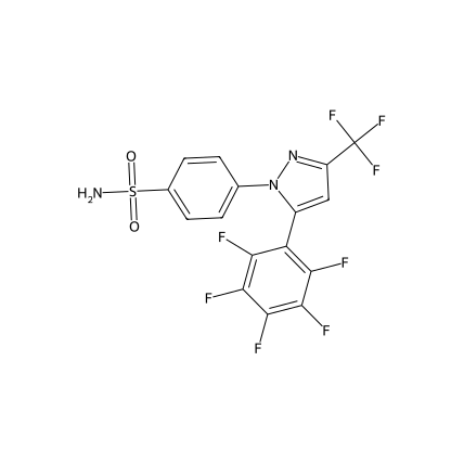 NS(=O)(=O)c1ccc(-n2nc(C(F)(F)F)cc2-c2c(F)c(F)c(F)c(F)c2F)cc1